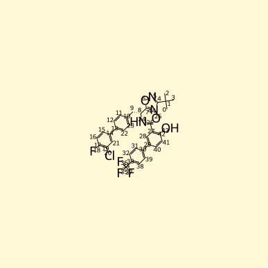 CC(C)(C)c1noc([C@@H](Cc2ccc(-c3ccc(F)c(Cl)c3)cc2)NC(=O)c2cc(-c3ccc(C(F)(F)F)cc3)ccc2O)n1